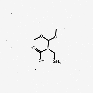 COC(OC)N(C[SiH3])C(=O)O